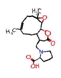 CC1=CCCC2(C)OC2C2OC(=O)C(CN3CCCC3C(=O)O)C2CC1